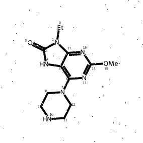 CCn1c(=O)[nH]c2c(N3CCNCC3)nc(OC)nc21